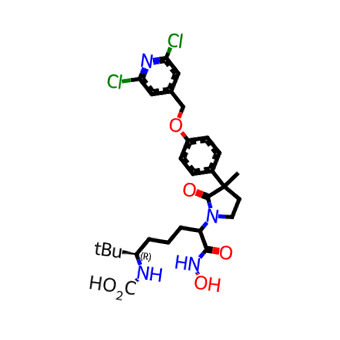 CC1(c2ccc(OCc3cc(Cl)nc(Cl)c3)cc2)CCN(C(CCC[C@@H](NC(=O)O)C(C)(C)C)C(=O)NO)C1=O